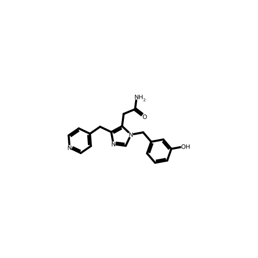 NC(=O)Cc1c(Cc2ccncc2)ncn1Cc1cccc(O)c1